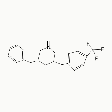 FC(F)(F)c1ccc(CC2CNCC(Cc3ccccc3)C2)cc1